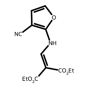 CCOC(=O)C(=CNc1occc1C#N)C(=O)OCC